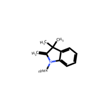 C=C1N(CCCCCC)c2ccccc2C1(C)C